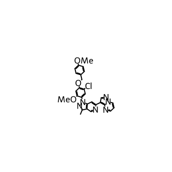 COc1ccc(COc2cc(OC)c(-n3nc(C)c4cnc(-c5cnn6cccnc56)cc43)cc2Cl)cc1